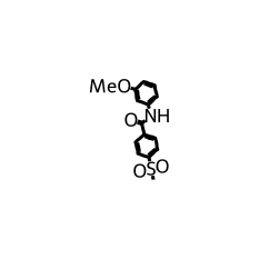 COc1cccc(NC(=O)c2ccc(S(C)(=O)=O)cc2)c1